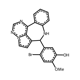 COc1cc(Br)c(C2Nc3ccccc3-c3ncnn4ccc2c34)cc1O